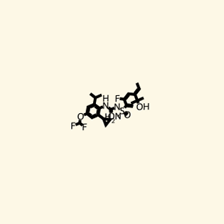 C=C(/C(F)=C\C(=C/C)C(C)(C)O)[S@@](N)(=O)=NC(=O)Nc1c(C(C)C)cc(OC(F)F)cc1C1CC1